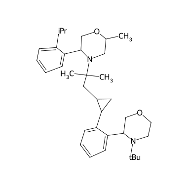 CC1CN(C(C)(C)CC2CC2c2ccccc2C2COCCN2C(C)(C)C)C(c2ccccc2C(C)C)CO1